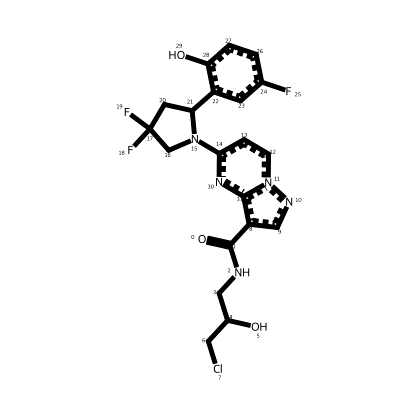 O=C(NCC(O)CCl)c1cnn2ccc(N3CC(F)(F)CC3c3cc(F)ccc3O)nc12